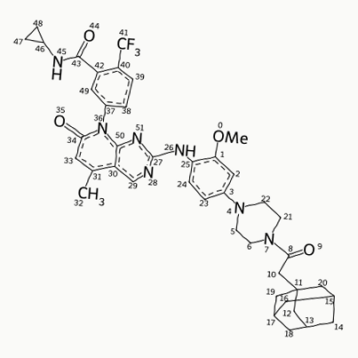 COc1cc(N2CCN(C(=O)CC34CC5CC(CC(C5)C3)C4)CC2)ccc1Nc1ncc2c(C)cc(=O)n(-c3ccc(C(F)(F)F)c(C(=O)NC4CC4)c3)c2n1